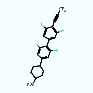 CCCCC1CCC(c2cc(F)c(-c3cc(F)c(C#CC(F)(F)F)c(F)c3)c(F)c2)CC1